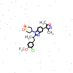 Cc1noc(C)c1-c1ccc2c(c1)nc(C(C)Cc1ccc(OC(F)(F)F)c(Cl)c1)n2C1CCS(=O)(=O)CC1